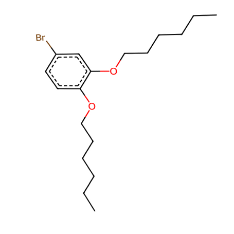 CCCCCCOc1ccc(Br)cc1OCCCCCC